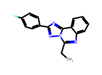 CCc1nc2ccccc2c2nc(-c3ccc(F)cc3)nn12